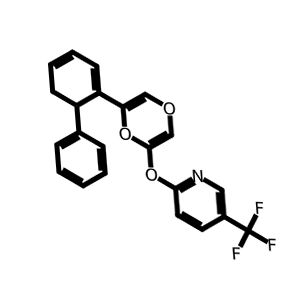 FC(F)(F)c1ccc(OC2=COC=C(C3=CC=CCC3c3ccccc3)O2)nc1